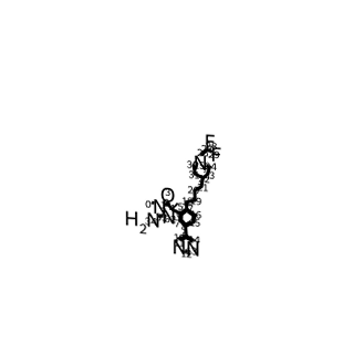 CN1C(=O)[C@](C)(c2cc(-c3cncnc3)ccc2CCCCC2CCN(CC(F)F)CC2)N=C1N